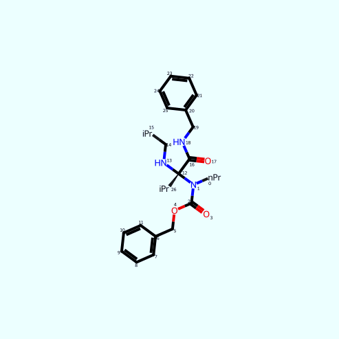 CCCN(C(=O)OCc1ccccc1)[C@](NCC(C)C)(C(=O)NCc1ccccc1)C(C)C